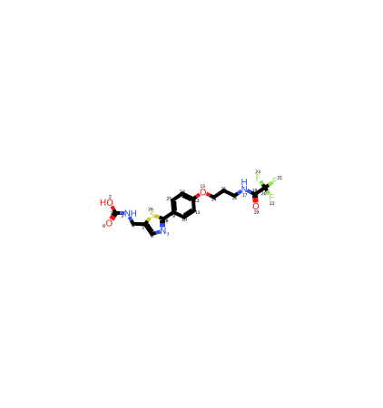 O=C(O)NCc1cnc(-c2ccc(OCCCNC(=O)C(F)(F)F)cc2)s1